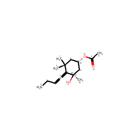 CCC=C=C1C(C)(C)C[C@H](OC(C)=O)C[C@@]1(C)O